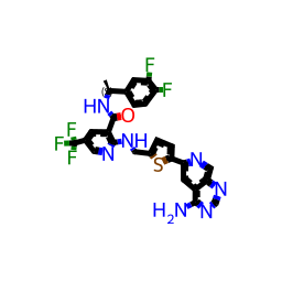 C[C@H](NC(=O)c1cc(C(F)(F)F)cnc1NCc1ccc(-c2cc3c(N)ncnc3cn2)s1)c1ccc(F)c(F)c1